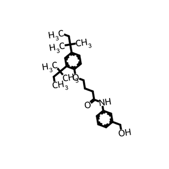 CCC(C)(C)c1ccc(OCCCC(=O)Nc2cccc(CO)c2)c(C(C)(C)CC)c1